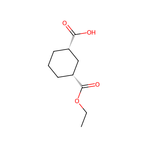 CCOC(=O)[C@@H]1CCC[C@H](C(=O)O)C1